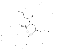 CCCC(=S)C(CC(C)C#N)C(O)=S